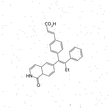 CC/C(=C(\C1=CC2C=CNC(=O)C2C=C1)c1ccc(/C=C/C(=O)O)cc1)c1ccccc1